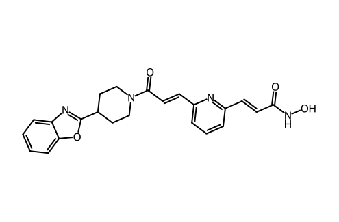 O=C(C=Cc1cccc(C=CC(=O)N2CCC(c3nc4ccccc4o3)CC2)n1)NO